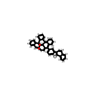 c1ccc(-c2c3ccccc3c(-c3ccc4oc5c6ccccc6ccc5c4c3)c3ccccc23)c(-c2cccc3ccccc23)c1